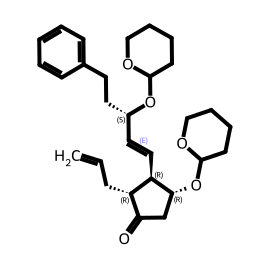 C=CC[C@H]1C(=O)C[C@@H](OC2CCCCO2)[C@@H]1/C=C/[C@H](CCc1ccccc1)OC1CCCCO1